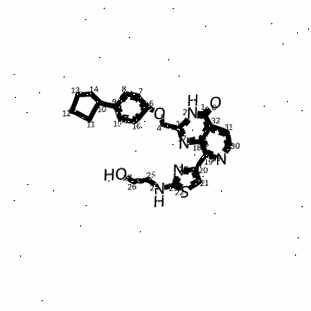 O=c1[nH]c(COc2ccc(C3CCCC3)cc2)nc2c(-c3csc(NCCO)n3)nccc12